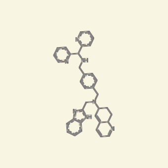 C1=CC2=CC(N(Cc3ccc(CNC(c4ccccn4)c4ccccn4)cc3)Cc3nc4ccccc4[nH]3)CCC2N=C1